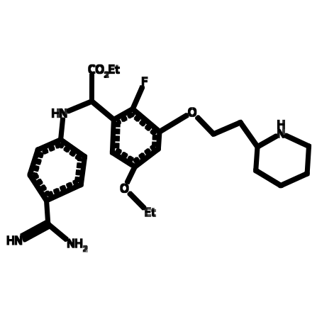 CCOC(=O)C(Nc1ccc(C(=N)N)cc1)c1cc(OCC)cc(OCCC2CCCCN2)c1F